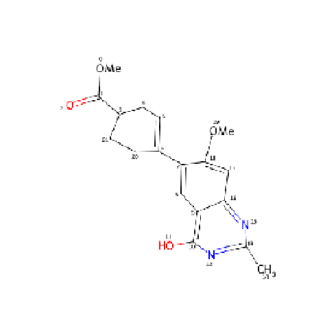 COC(=O)C1CC=C(c2cc3c(O)nc(C)nc3cc2OC)CC1